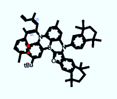 C=C/C(C)=C\C(=C(/C)c1ccc(C)cc1)N1c2ccc(C(C)(C)C)cc2B2c3oc4cc5c(cc4c3N(c3ccc4c(c3)C(C)(C)CCC4(C)C)c3cc(C)cc1c32)C(C)(C)CCC5(C)C